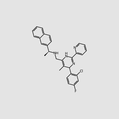 CC1=C(CN[C@@H](C)c2ccc3ccccc3c2)NC(c2ccccn2)=NC1c1ccc(F)cc1Cl